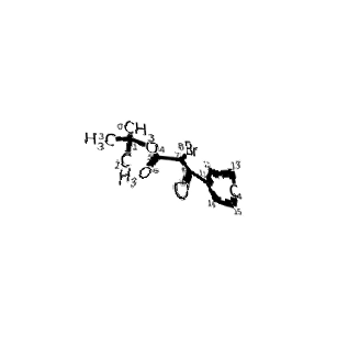 CC(C)(C)OC(=O)C(Br)C(=O)c1ccccc1